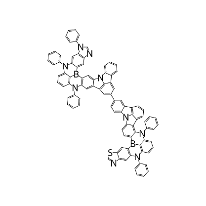 c1ccc(N2c3cc4c5cc(-c6ccc7c(c6)c6cccc8c9c%10c(ccc9n7c68)B6c7cc8scnc8cc7N(c7ccccc7)c7cccc(c76)N%10c6ccccc6)cc6c7ccccc7n(c4cc3B3c4cc7ncn(-c8ccccc8)c7cc4N(c4ccccc4)c4cccc2c43)c65)cc1